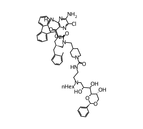 CCCCCCN(CCNC(=O)N1CCC(CN(C[C@H](CNC(=O)c2nc(Cl)c(N)nc2N)Cc2ccccc2C)C(=O)OCC2c3ccccc3-c3ccccc32)CC1)C[C@H](O)[C@@H](O)[C@@H]1O[C@H](c2ccccc2)OC[C@H]1O